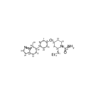 CCSC1CC(Oc2ccc(-c3ccc4ccnn4c3C)cc2)CCN1C(N)=O